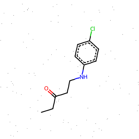 CCC(=O)CCNc1ccc(Cl)cc1